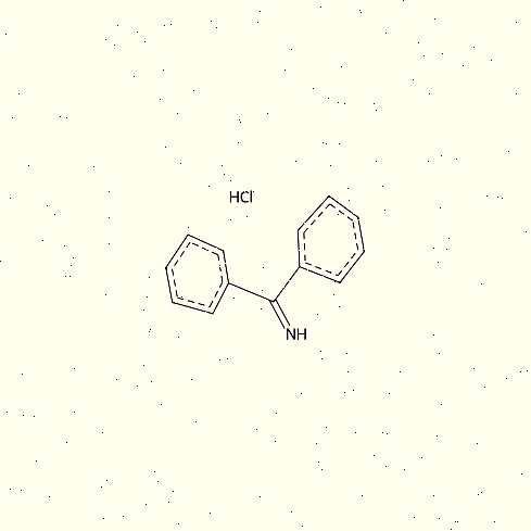 Cl.N=C(c1ccccc1)c1ccccc1